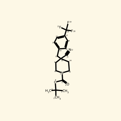 CC(C)(C)OC(=O)N1CCC(C#N)(Cc2ccc(C(F)(F)F)cc2)CC1